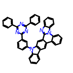 c1ccc(-c2nc(-c3ccccc3)nc(-c3cccc(-n4c5ccccc5c5cc6c7ccccc7n7c8ccccc8nc7c6cc54)c3)n2)cc1